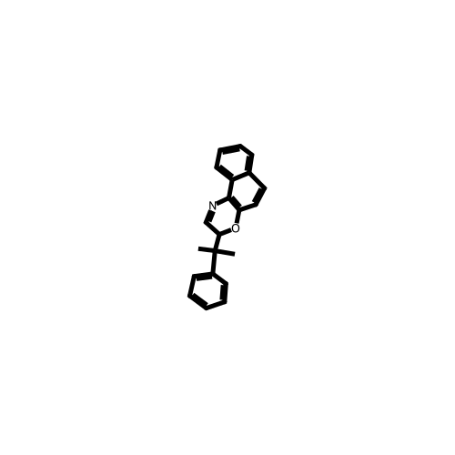 CC(C)(c1ccccc1)C1C=Nc2c(ccc3ccccc23)O1